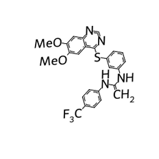 C=C(Nc1ccc(C(F)(F)F)cc1)Nc1cccc(Sc2ncnc3cc(OC)c(OC)cc23)c1